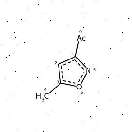 CC(=O)c1cc(C)on1